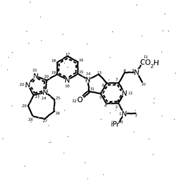 CC(C)N(C)c1cc2c(c(CN(C)C(=O)O)n1)CN(c1cccc(-c3nnc4n3CCCCC4)n1)C2=O